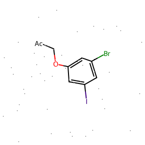 CC(=O)COc1cc(Br)cc(I)c1